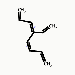 C=C/C=C\C(C=C)=C/C=C